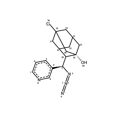 [N-]=[N+]=N[C@@H](c1cccnc1)C1C2CC3CC(Cl)(C2)C[C@@]1(O)C3